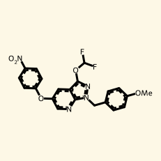 COc1ccc(Cn2nc(OC(F)F)c3cc(Oc4ccc([N+](=O)[O-])cc4)cnc32)cc1